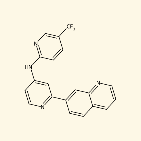 FC(F)(F)c1ccc(Nc2ccnc(-c3ccc4cccnc4c3)c2)nc1